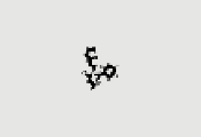 Cc1cc(=O)n(CCc2cccs2)c(-c2ccccc2)n1